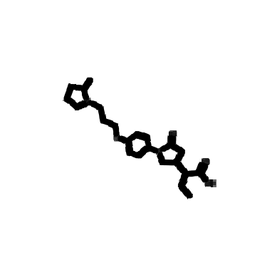 CCC(C(=O)O)C1CC(=O)N(c2ccc(OCCCN3CCCC3C)cc2)C1